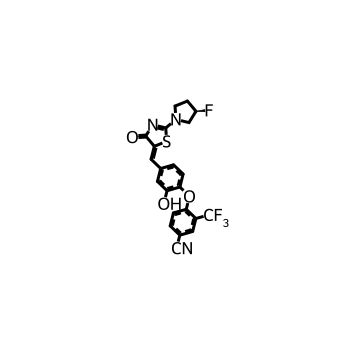 N#Cc1ccc(Oc2ccc(/C=C3\SC(N4CC[C@@H](F)C4)=NC3=O)cc2O)c(C(F)(F)F)c1